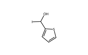 OC(I)c1cccs1